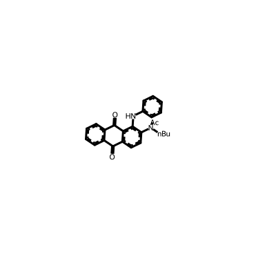 CCCCN(C(C)=O)c1ccc2c(c1Nc1ccccc1)C(=O)c1ccccc1C2=O